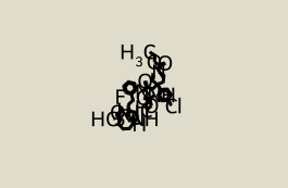 CCOC(=O)N1CCC(c2ccc(Cl)cc2)([C@H](NC(=O)OC)C(=O)Nc2cccc(F)c2CC[C@H]2CN[C@@H]3CCCS(O)(O)N2C3)CC1